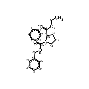 CCOC(=O)[C@@]1(c2ccccc2)CCCN1C(=O)OCc1ccccc1